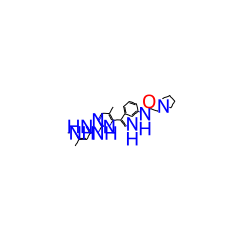 CN/C(C)=C\C(=N)Nc1ncc(C)c(-c2c[nH]c3c(NC(=O)CN4CCCC4)cccc23)n1